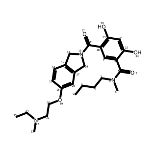 CCCCN(C)C(=O)c1cc(C(=O)N2Cc3ccc(OCCN(C)CC)cc3C2)c(O)cc1O